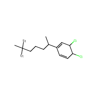 CCC(C)(CC)CCCC(C)C1=CC(Cl)C(Cl)C=C1